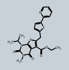 CCOC(=O)c1c(Cc2ccc(-c3ccccn3)s2)sc2c1c(=O)n(C)c(=O)n2C(C)C